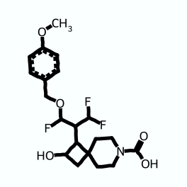 COc1ccc(COC(F)C(C(F)F)C2C(O)CC23CCN(C(=O)O)CC3)cc1